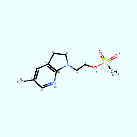 CS(=O)(=O)OCCN1[CH]Cc2cc(C(F)(F)F)cnc21